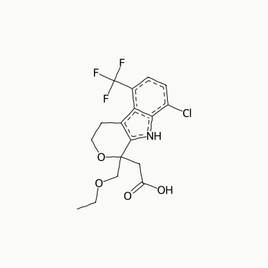 CCOCC1(CC(=O)O)OCCc2c1[nH]c1c(Cl)ccc(C(F)(F)F)c21